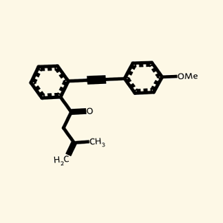 C=C(C)CC(=O)c1ccccc1C#Cc1ccc(OC)cc1